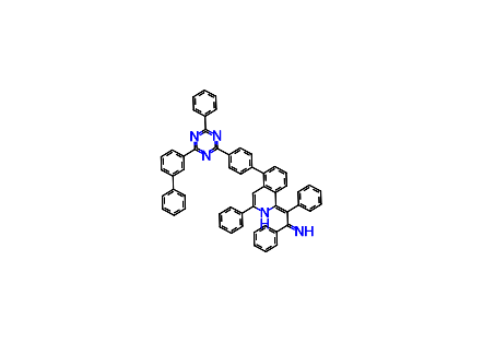 N=C(/C(=C1\NC(c2ccccc2)=Cc2c1cccc2-c1ccc(-c2nc(-c3ccccc3)nc(-c3cccc(-c4ccccc4)c3)n2)cc1)c1ccccc1)c1ccccc1